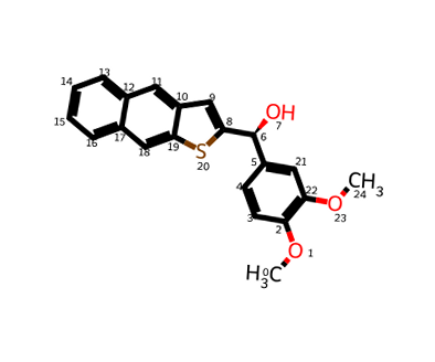 COc1ccc([C@H](O)c2cc3cc4ccccc4cc3s2)cc1OC